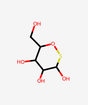 OCC1OSC(O)C(O)C1O